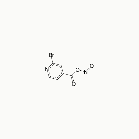 O=NOC(=O)c1ccnc(Br)c1